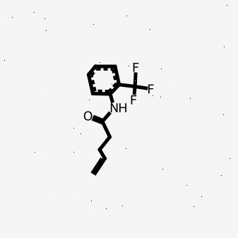 C=CCCC(=O)Nc1ccccc1C(F)(F)F